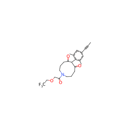 CC#Cc1cc(C)c(C2C(=O)CCCN(C(=O)COCC(F)(F)F)CCCC2=O)c(C)c1